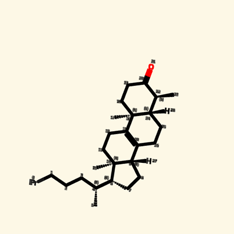 CC(C)CCC[C@@H](C)[C@H]1CC[C@H]2C3=C(CC[C@]12C)[C@@]1(C)CCC(=O)[C@@H](C)[C@@H]1CC3